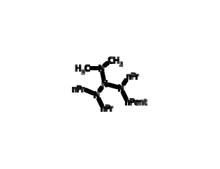 CCCCCN(CCC)N(N(C)C)N(CCC)CCC